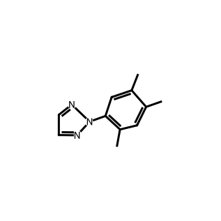 Cc1cc(C)c(-n2nccn2)cc1C